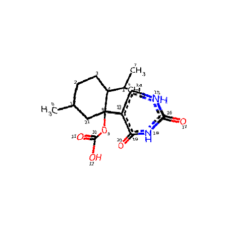 CC1CCC(C(C)C)C(OC(=O)O)(c2c[nH]c(=O)[nH]c2=O)C1